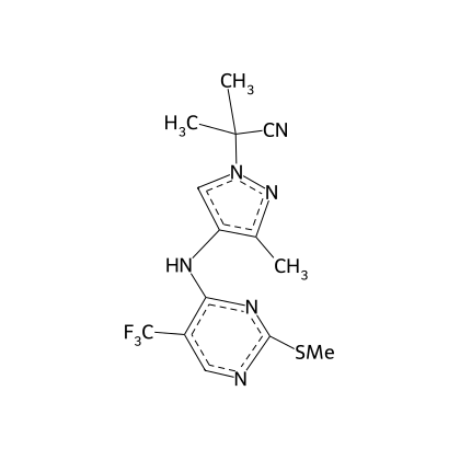 CSc1ncc(C(F)(F)F)c(Nc2cn(C(C)(C)C#N)nc2C)n1